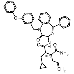 C=CC[C@H](C(N)=O)[C@@H](CC1CC1)C(=O)NC1N=C(c2ccccc2)c2ccccc2N(Cc2cccc(Oc3ccccc3)c2)C1=O